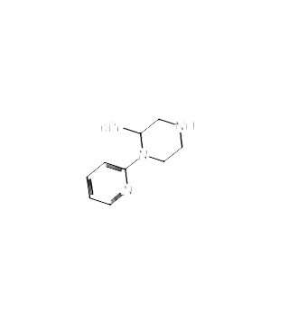 CCCC1CNCCN1c1ccccn1